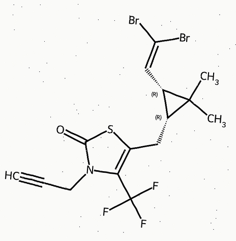 C#CCn1c(C(F)(F)F)c(C[C@@H]2[C@H](C=C(Br)Br)C2(C)C)sc1=O